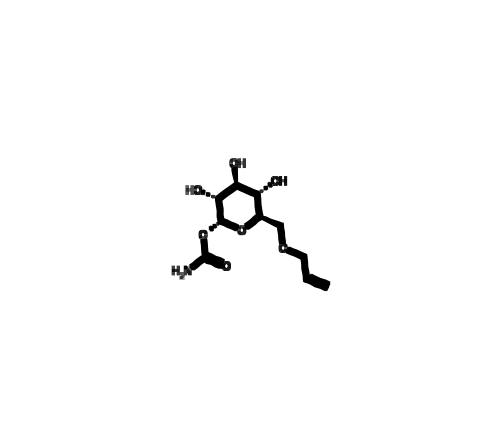 C=CCOC[C@H]1O[C@H](OC(N)=O)[C@H](O)[C@@H](O)[C@@H]1O